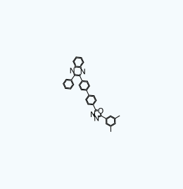 Cc1cc(C)cc(-c2nnc(-c3ccc(-c4ccc(-c5nc6ccccc6nc5-c5ccccc5)cc4)cc3)o2)c1